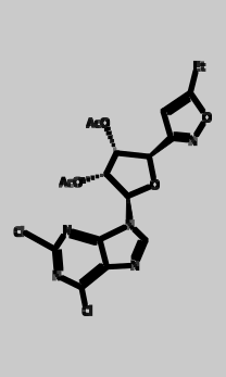 CCc1cc([C@H]2O[C@@H](n3cnc4c(Cl)nc(Cl)nc43)[C@H](OC(C)=O)[C@@H]2OC(C)=O)no1